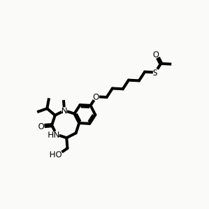 CC(=O)SCCCCCCOc1ccc2c(c1)N(C)C(C(C)C)C(=O)NC(CO)C2